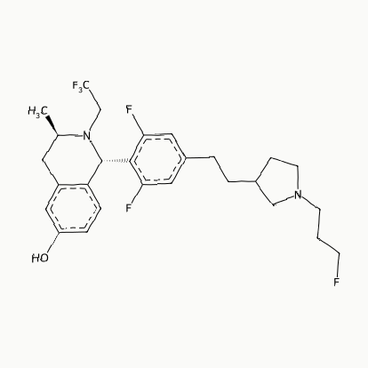 C[C@@H]1Cc2cc(O)ccc2[C@@H](c2c(F)cc(CCC3CCN(CCCF)C3)cc2F)N1CC(F)(F)F